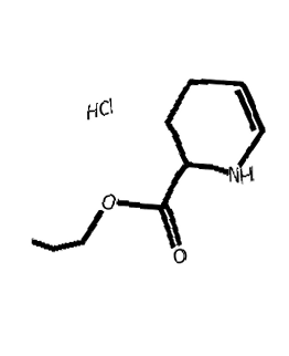 CCOC(=O)C1CCC=CN1.Cl